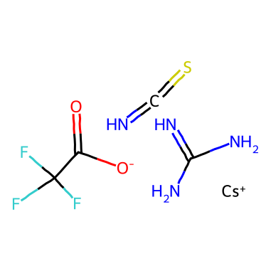 N=C(N)N.N=C=S.O=C([O-])C(F)(F)F.[Cs+]